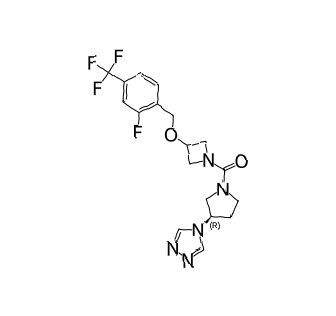 O=C(N1CC(OCc2ccc(C(F)(F)F)cc2F)C1)N1CC[C@@H](n2cnnc2)C1